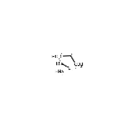 O=C(O)CC(=O)O.[Li][C](C)(C)C.[NaH]